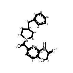 O=C1COc2ccc(C(=O)N3CCC(Cc4ccccc4)CC3)nc2N1